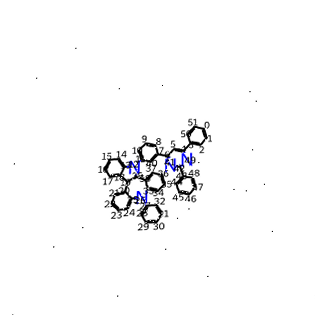 c1ccc(-c2cc(-c3cccc(N4c5ccccc5C5c6ccccc6N(c6ccccc6)c6ccccc6C54)c3)nc(-c3ccccc3)n2)cc1